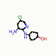 Nc1cc(Cl)cnc1Nc1ccc(O)cc1